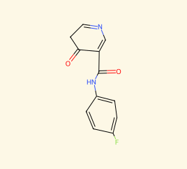 O=C1CC=NC=C1C(=O)Nc1ccc(F)cc1